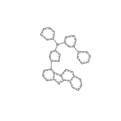 c1ccc(-c2cccc(N(c3ccccc3)c3ccc(-c4cccc5oc6c7ccccc7ccc6c45)cc3)c2)cc1